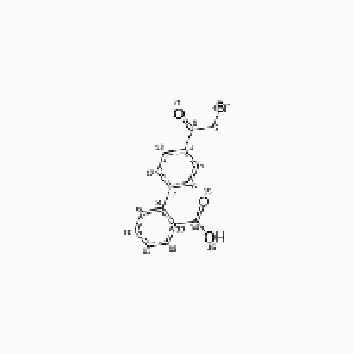 O=C(CBr)c1ccc(-c2ccccc2C(=O)O)cc1